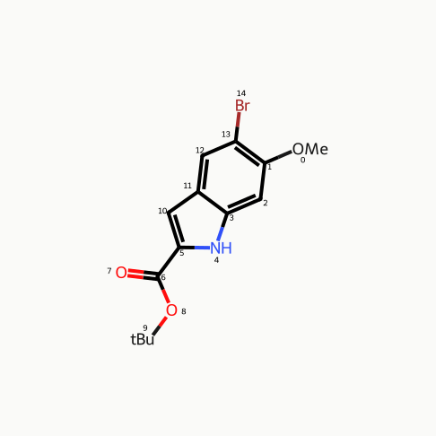 COc1cc2[nH]c(C(=O)OC(C)(C)C)cc2cc1Br